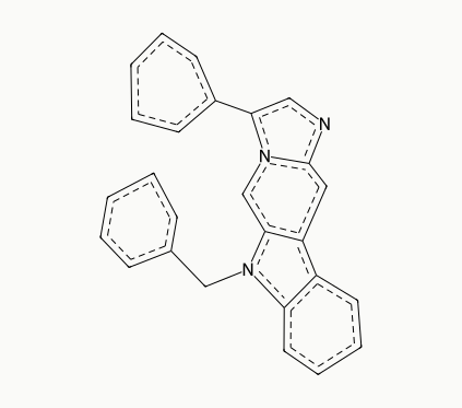 c1ccc(Cn2c3ccccc3c3cc4ncc(-c5ccccc5)n4cc32)cc1